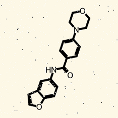 O=C(Nc1ccc2occc2c1)c1ccc(N2CCOCC2)cc1